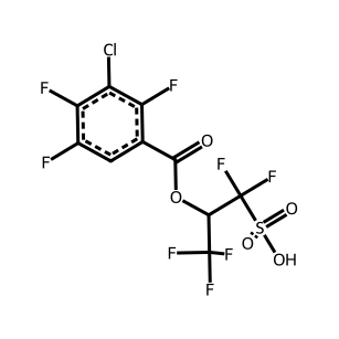 O=C(OC(C(F)(F)F)C(F)(F)S(=O)(=O)O)c1cc(F)c(F)c(Cl)c1F